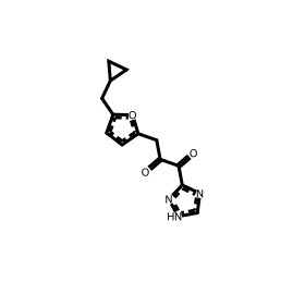 O=C(Cc1ccc(CC2CC2)o1)C(=O)c1nc[nH]n1